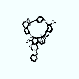 COc1ccc2cc1Oc1ccc(cc1)C[C@H]1c3cc(ccc3CCN1C)Oc1c(OC)c(OC)c(CNCc3ccccn3)c3c1[C@H](C2)N(C)CC3